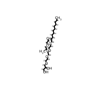 C=CCOCC=C.CCCCCCCCCCCCOCCOCCOCCOCC(O)CO